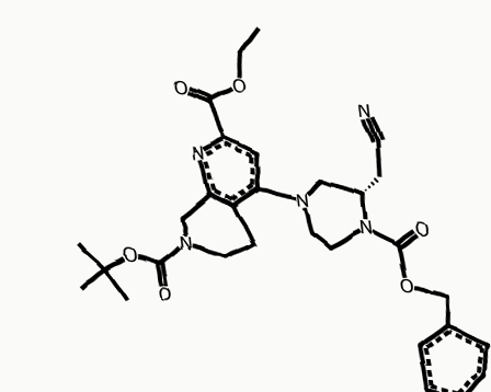 CCOC(=O)c1cc(N2CCN(C(=O)OCc3ccccc3)[C@@H](CC#N)C2)c2c(n1)CN(C(=O)OC(C)(C)C)CC2